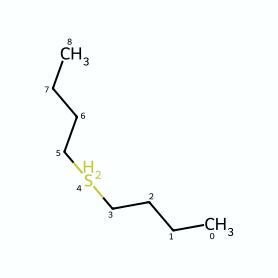 CCCC[SH2]CCCC